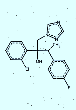 CC(c1ccc(F)cc1)C(O)(Cn1cncn1)c1ccccc1Cl